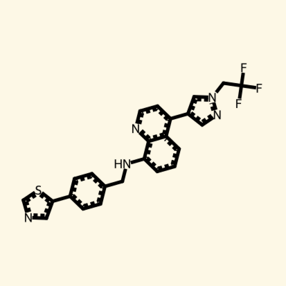 FC(F)(F)Cn1cc(-c2ccnc3c(NCc4ccc(-c5cncs5)cc4)cccc23)cn1